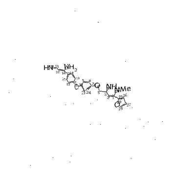 CN/C(=C\C(N)COc1ccc(Oc2ccc(/C(N)=C/C=N)cc2)cc1)c1ccco1